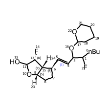 CCCCC(F)C(/C=C/[C@H]1CC[C@@H]2OC(O)[C@H](F)[C@@H]21)OC1CCCCO1